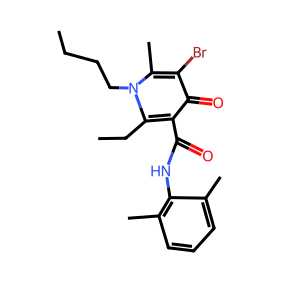 CCCCn1c(C)c(Br)c(=O)c(C(=O)Nc2c(C)cccc2C)c1CC